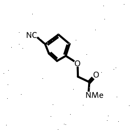 CNC(=O)COc1ccc(C#N)cc1